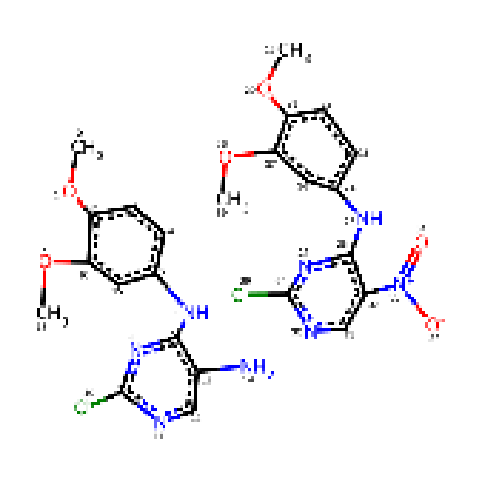 COc1ccc(Nc2nc(Cl)ncc2N)cc1OC.COc1ccc(Nc2nc(Cl)ncc2[N+](=O)[O-])cc1OC